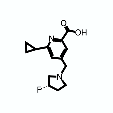 O=C(O)c1cc(CN2CC[C@H](F)C2)cc(C2CC2)n1